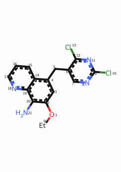 CCOc1cc(Cc2cnc(Cl)nc2Cl)c2cccnc2c1N